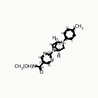 Cc1ccc(N2C[C@@H]3C[C@H]2CN3c2ncc(C(=O)N(C)O)cn2)cc1